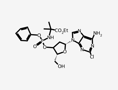 CCOC(=O)C(C)(C)NP(=O)(Oc1ccccc1)OC1C[C@H](n2cnc3c(N)nc(Cl)nc32)O[C@@H]1CO